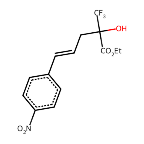 CCOC(=O)C(O)(CC=Cc1ccc([N+](=O)[O-])cc1)C(F)(F)F